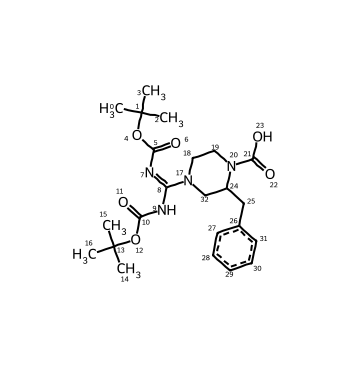 CC(C)(C)OC(=O)/N=C(/NC(=O)OC(C)(C)C)N1CCN(C(=O)O)C(Cc2ccccc2)C1